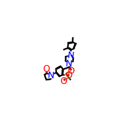 Cc1ccc(N2CCN(C(=O)c3ccc(N4CCCC4=O)cc3S(C)(=O)=O)CC2)c(C)c1